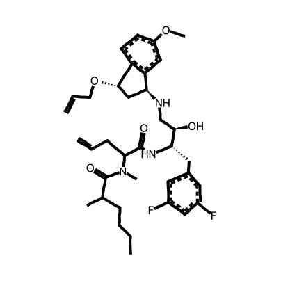 C=CCO[C@H]1C[C@H](NC[C@@H](O)[C@H](Cc2cc(F)cc(F)c2)NC(=O)C(CC=C)N(C)C(=O)C(C)CCCC)c2cc(OC)ccc21